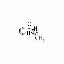 Cc1cnc(C(=O)c2ccccc2)[nH]1